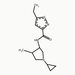 CCc1cc(C(=O)NC2CN(C3CC3)CC2C)ns1